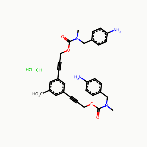 CN(Cc1ccc(N)cc1)C(=O)OCC#Cc1cc(C#CCOC(=O)N(C)Cc2ccc(N)cc2)cc(C(=O)O)c1.Cl.Cl